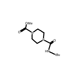 COC(=O)N1CCN(C(=O)NC(C)(C)C)CC1